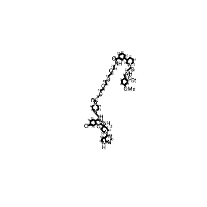 CCOc1cc(OC)ccc1CNCC(=O)N1CCCC(c2cccc(C(=O)NCCOCCOCCOCCOCCC(=O)N3CCN(CC[C@H](NC(=O)C4(N)CCN(c5ncnc6[nH]ccc56)CC4)c4ccc(Cl)cc4)CC3)c2)C1